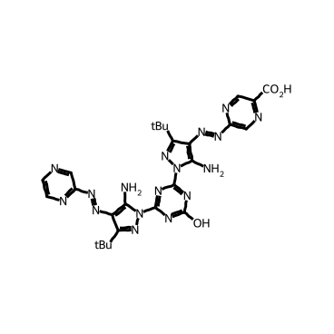 CC(C)(C)c1nn(-c2nc(O)nc(-n3nc(C(C)(C)C)c(N=Nc4cnc(C(=O)O)cn4)c3N)n2)c(N)c1N=Nc1cnccn1